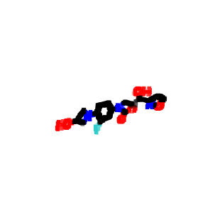 O=C1O[C@@H](C(O)c2ccon2)CN1c1ccc(N2CC(O)C2)c(F)c1